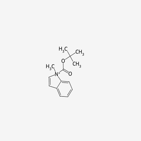 CC(C)(C)OC(=O)[N+]1(C)C=Cc2ccccc21